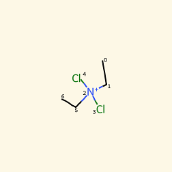 CC[N+](Cl)(Cl)CC